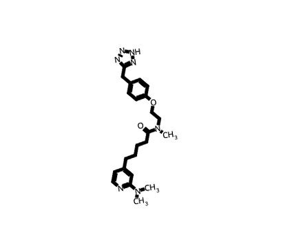 CN(CCOc1ccc(Cc2nn[nH]n2)cc1)C(=O)CCCCc1ccnc(N(C)C)c1